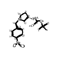 CC(C)(C)OC(=O)N[C@H]1CCN(Cc2ccc([N+](=O)[O-])cc2)C1